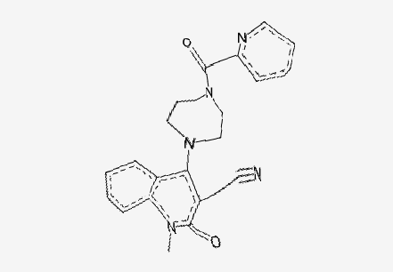 Cn1c(=O)c(C#N)c(N2CCN(C(=O)c3ccccn3)CC2)c2ccccc21